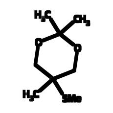 CSC1(C)COC(C)(C)OC1